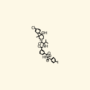 CC(C)[C@@H](NC(=O)c1cccc(C(=O)NS(=O)(=O)c2ccc(I)cc2)c1)C(=O)N1CC[C@](O)(c2ccc(Cl)cc2)C(C)(C)C1